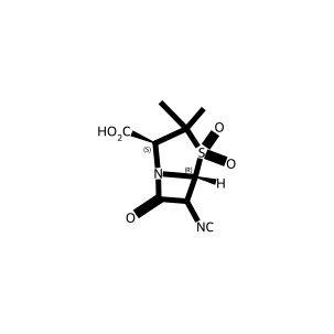 [C-]#[N+]C1C(=O)N2[C@@H](C(=O)O)C(C)(C)S(=O)(=O)[C@H]12